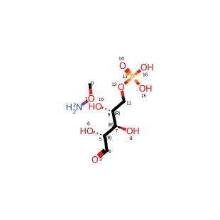 CON.O=C[C@H](O)[C@H](O)[C@H](O)COP(=O)(O)O